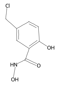 O=C(NO)c1cc(CCl)ccc1O